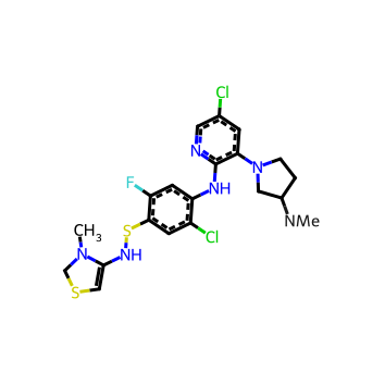 CNC1CCN(c2cc(Cl)cnc2Nc2cc(F)c(SNC3=CSCN3C)cc2Cl)C1